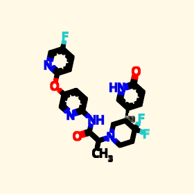 CC(C(=O)Nc1ccc(Oc2ccc(F)cn2)cn1)N1CCC(F)(F)[C@@H](c2ccc(=O)[nH]c2)C1